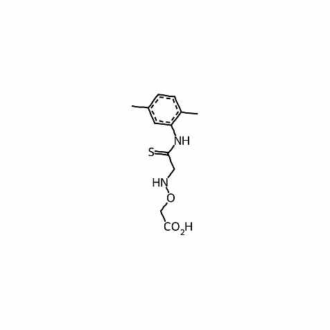 Cc1ccc(C)c(NC(=S)CNOCC(=O)O)c1